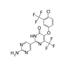 Nc1ncc(-c2nc(C(F)(F)F)c(Oc3ccc(Cl)c(C(F)(F)F)c3)c(=O)[nH]2)cn1